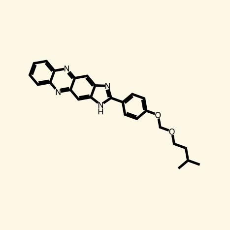 CC(C)CCOCOc1ccc(-c2nc3cc4nc5ccccc5nc4cc3[nH]2)cc1